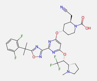 CN1CCC[C@H]1[C@@H](Oc1cc(O[C@H]2CCN(C(=O)O)[C@H](CC#N)C2)nc(-c2noc(C(C)(C)c3c(F)cccc3F)n2)n1)C(F)(F)F